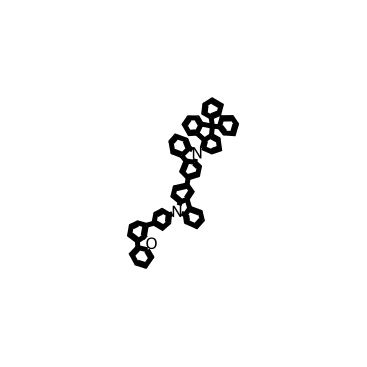 c1ccc(C2(c3ccccc3)c3ccccc3-c3c(-n4c5ccccc5c5cc(-c6ccc7c(c6)c6ccccc6n7-c6ccc(-c7cccc8c7oc7ccccc78)cc6)ccc54)cccc32)cc1